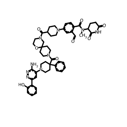 CN(C(=O)c1ccc(N2CCC(C(=O)N3CCOC4(CCN(C(=O)C5(c6ccccc6)CCN(c6cc(-c7ccccc7O)nnc6N)CC5)CC4)C3)CC2)cc1C=O)C1CCC(=O)NC1=O